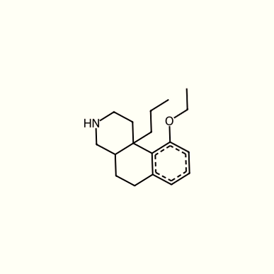 CCCC12CCNCC1CCc1cccc(OCC)c12